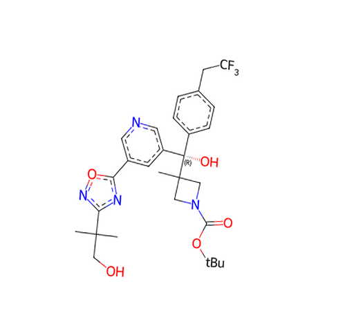 CC(C)(C)OC(=O)N1CC(C)([C@](O)(c2ccc(CC(F)(F)F)cc2)c2cncc(-c3nc(C(C)(C)CO)no3)c2)C1